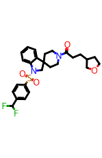 O=C(CCC1CCOC1)N1CCC2(CC1)CN(S(=O)(=O)c1ccc(C(F)F)cc1)c1ccccc12